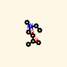 c1ccc(-c2cccc(-c3nc(-c4ccccc4)nc(-c4cccc5c4oc4ccc(-c6cc(-c7ccccc7)cc7c6oc6ccccc67)cc45)n3)c2)cc1